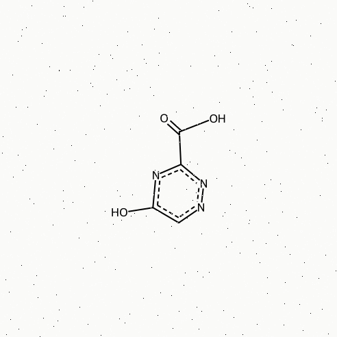 O=C(O)c1nncc(O)n1